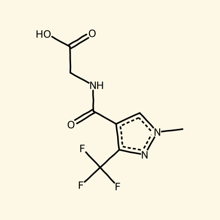 Cn1cc(C(=O)NCC(=O)O)c(C(F)(F)F)n1